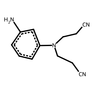 N#CCCN(CCC#N)c1cccc(N)c1